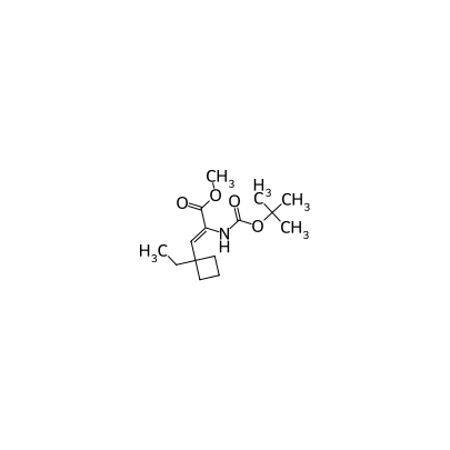 CCC1(C=C(NC(=O)OC(C)(C)C)C(=O)OC)CCC1